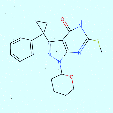 CSc1nc2c(c(C3(c4ccccc4)CC3)nn2C2CCCCO2)c(=O)[nH]1